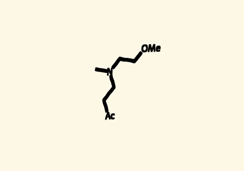 COCCN(C)CCC(C)=O